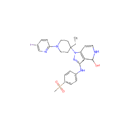 CS(=O)(=O)c1ccc(Nc2nn(C3(CC#N)CCN(c4ccc(I)cn4)CC3)c3c2C(O)NC=C3)cc1